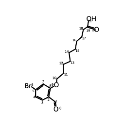 O=Cc1ccc(Br)cc1OCCCCCCCCCC(=O)O